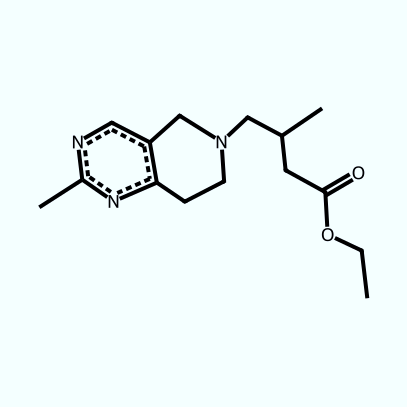 CCOC(=O)CC(C)CN1CCc2nc(C)ncc2C1